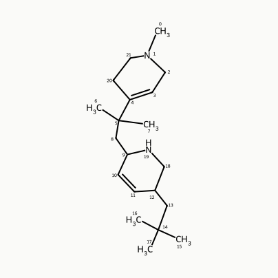 CN1CC=C(C(C)(C)CC2C=CC(CC(C)(C)C)CN2)CC1